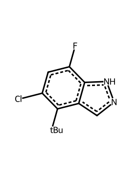 CC(C)(C)c1c(Cl)cc(F)c2[nH]ncc12